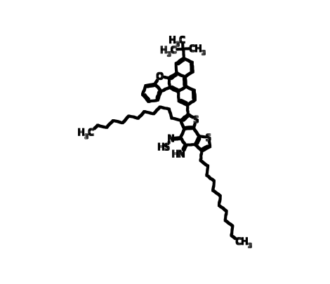 CCCCCCCCCCCCc1csc2c1C(=N)/C(=N\S)c1c-2sc(-c2ccc3c4ccc(C(C)(C)C)cc4c4oc5ccccc5c4c3c2)c1CCCCCCCCCCCC